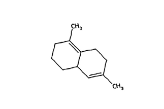 CC1=CC2CCCC(C)=C2CC1